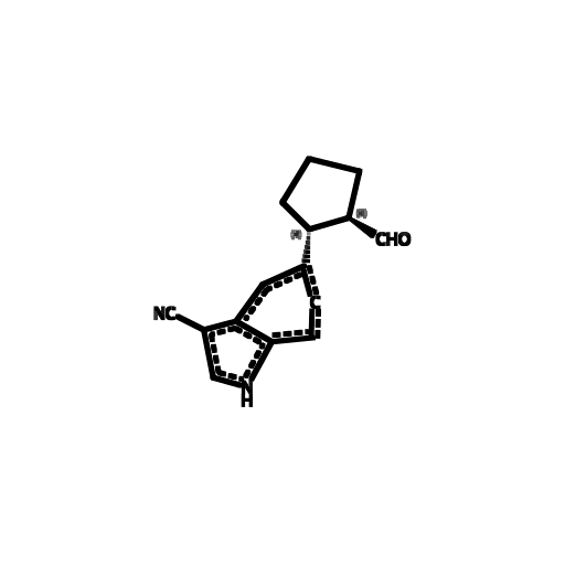 N#Cc1c[nH]c2ccc([C@@H]3CCC[C@H]3C=O)cc12